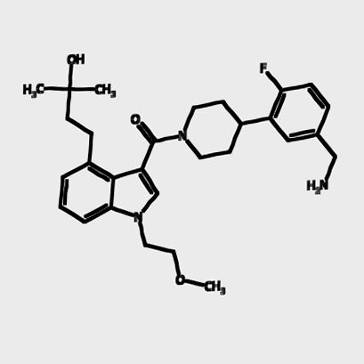 COCCn1cc(C(=O)N2CCC(c3cc(CN)ccc3F)CC2)c2c(CCC(C)(C)O)cccc21